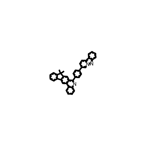 CC1(C)c2ccccc2-c2cc3c(cc21)c(-c1ccc(-c2ccc4c5ccccc5nn4c2)cc1)nc1ccccc13